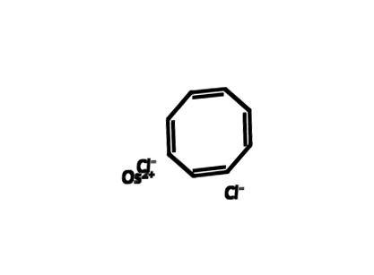 C1=C\C=C/C=C\C=C/1.[Cl-].[Cl-].[Os+2]